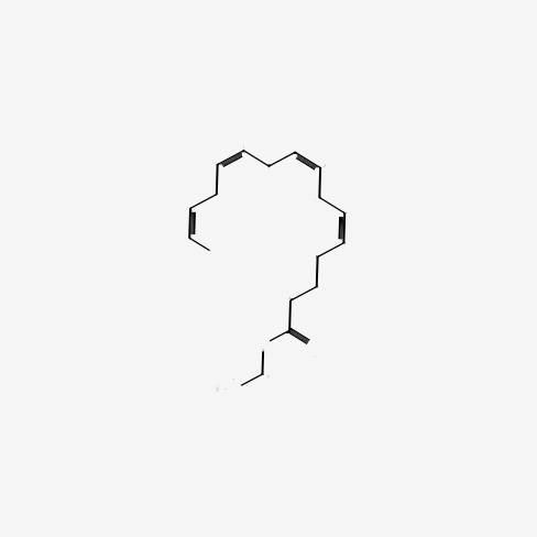 CCCCC/C=C\C/C=C\C/C=C\C/C=C\CCCC(=O)OCCCCCCCCCCC